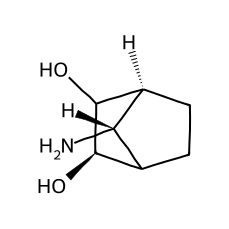 N[C@H]1C2CC[C@@H]1C(O)[C@@H]2O